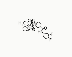 CC(C)C(O)[C@]1(O)C2CCC1C[C@@H](S(=O)(=O)c1cc(C(=O)Nc3ccc(F)c(F)c3)ccc1Cl)C2